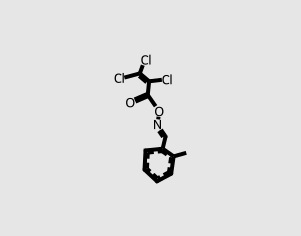 Cc1ccccc1C=NOC(=O)C(Cl)=C(Cl)Cl